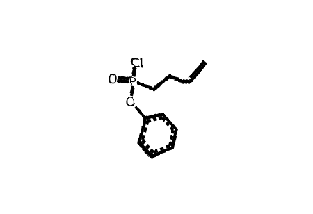 C=CCCP(=O)(Cl)Oc1ccccc1